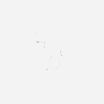 CC(C)[C@@H]1CC[C@@H](C)C[C@@H]1OCC(O)CCl